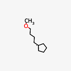 COCCCC[C]1CCCC1